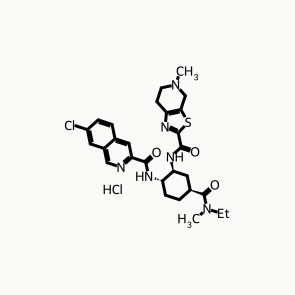 CCN(C)C(=O)[C@H]1CC[C@H](NC(=O)c2cc3ccc(Cl)cc3cn2)[C@@H](NC(=O)c2nc3c(s2)CN(C)CC3)C1.Cl